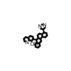 Oc1c(-c2c3ccccc3cc3c2ccc2c(-c4cncnc4)cccc23)ccc2cccnc12